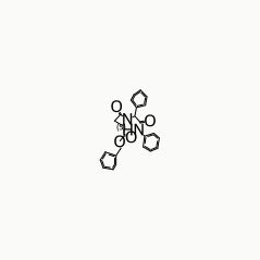 O=C(Nc1ccccc1)C(c1ccccc1)N1C(=O)C[C@H]1C(=O)OCc1ccccc1